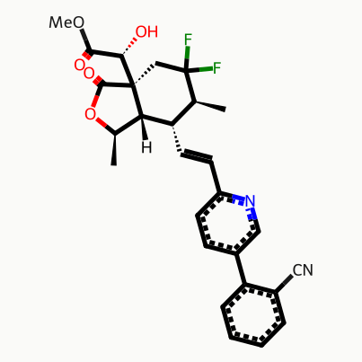 COC(=O)[C@H](O)[C@@]12CC(F)(F)[C@@H](C)[C@H](/C=C/c3ccc(-c4ccccc4C#N)cn3)[C@@H]1[C@@H](C)OC2=O